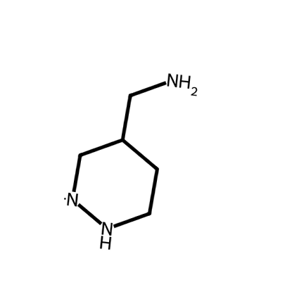 NCC1CCN[N]C1